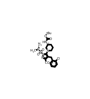 CN(C)S(=O)(=O)n1nc(C(=O)O)c(Cc2ccccc2Cl)c1N1CCC[C@@H](NC(=O)OC(C)(C)C)C1